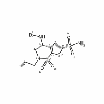 C=CCN1CC(NCC)c2cc(S(N)(=O)=O)sc2S1(=O)=O